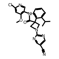 COc1cc(Cl)ncc1NC(=O)C1(c2ccccc2C(C)C)CN(c2ncc(C#N)cn2)C1